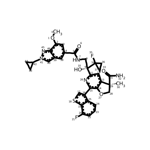 COc1cc(C(=O)NC[C@](O)(c2cc3c(c(-c4csc5c(F)cccc45)n2)OC[C@]3(C)C(N)=O)C2(F)CC2)cc2cn(C3CC3)nc12